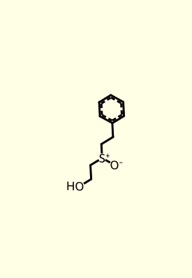 [O-][S+](CCO)CCc1ccccc1